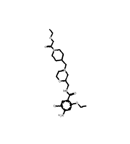 CCOCC(=O)N1CCC(CN2CCOC(CNC(=O)c3cc(Cl)c(N)cc3OCC)C2)CC1